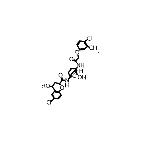 Cc1cc(OCC(=O)NC23CCC(NC(=O)C4CC(O)c5cc(Cl)ccc5O4)(CC2)C[C@@H]3O)ccc1Cl